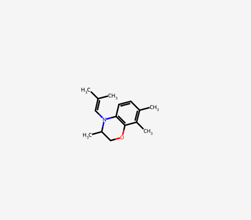 CC(C)=CN1c2ccc(C)c(C)c2OCC1C